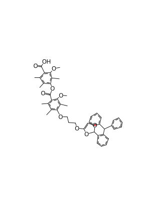 COc1c(C)c(OC(=O)c2c(C)c(C)c(OCCCOC3=COC(c4ccccc4C(c4ccccc4)c4ccccc4)O3)c(C)c2OC)c(C)c(C)c1C(=O)O